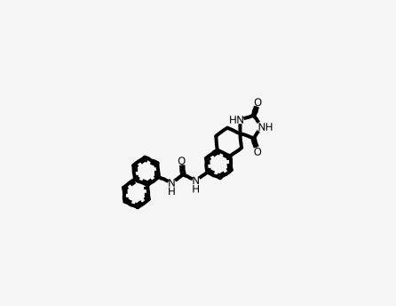 O=C(Nc1ccc2c(c1)CCC1(C2)NC(=O)NC1=O)Nc1cccc2ccccc12